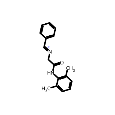 Cc1cccc(C)c1NC(=O)C/N=C/c1ccccc1